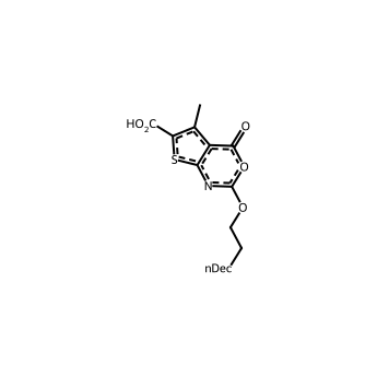 CCCCCCCCCCCCOc1nc2sc(C(=O)O)c(C)c2c(=O)o1